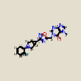 Cn1cnc2ncn(Cc3nc(C4C5CN(c6ccccc6F)CC54)no3)c(=O)c21